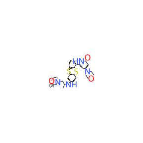 CC(CN1CCO[C@@H](C)C1)Nc1ccc2c(c1)Sc1cccc(-c3cc(N4CCOCC4)cc(=O)[nH]3)c1S2